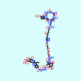 CCc1c2c(nc3ccc(OC(=O)N(C)CCN(C)C(=O)OCc4c5c(n(CC(=O)NCCOCCOCCOCCn6cc(CCC(=O)CCCC(=O)NCCCCC7NC(=O)[C@@H](Cc8ccc(O)cc8)NC(=O)CNC(=O)CNC(=O)CNC7=O)nn6)c4C)C(=O)C=C(OC)C5=O)cc13)-c1cc3c(c(=O)n1C2)COC(=O)C3O